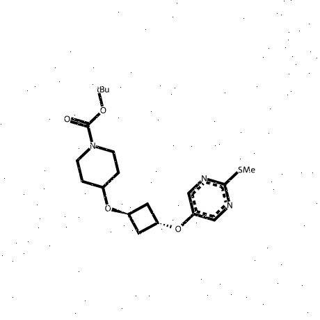 CSc1ncc(O[C@H]2C[C@H](OC3CCN(C(=O)OC(C)(C)C)CC3)C2)cn1